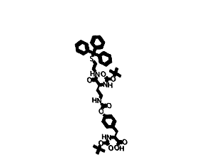 CC(C)(C)OC(=O)N[C@@H](Cc1ccc(OC(=O)NCC[C@H](NC(=O)OC(C)(C)C)C(=O)NCCSC(c2ccccc2)(c2ccccc2)c2ccccc2)cc1)C(=O)O